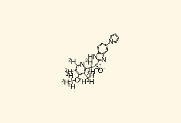 [2H]c1nc(C([2H])([2H])[S+]([O-])c2nc3cc(-n4cccc4)ccc3[nH]2)c(C([2H])([2H])[2H])c(OC([2H])([2H])[2H])c1[2H]